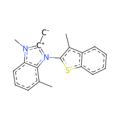 [CH2-][c+]1n(C)c2cccc(C)c2n1-c1sc2ccccc2c1C